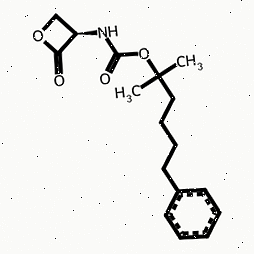 CC(C)(CCCCc1ccccc1)OC(=O)N[C@@H]1COC1=O